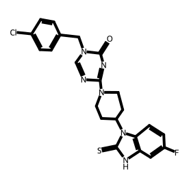 O=c1nc(N2CCC(n3c(=S)[nH]c4cc(F)ccc43)CC2)ncn1Cc1ccc(Cl)cc1